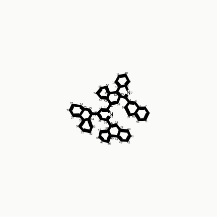 c1ccc2cc(-c3nc4ccccc4c4c3cc(-c3cc(-c5cc6ccccc6c6ccccc56)cc(-c5cc6ccccc6c6ccccc56)n3)c3ccccc34)ccc2c1